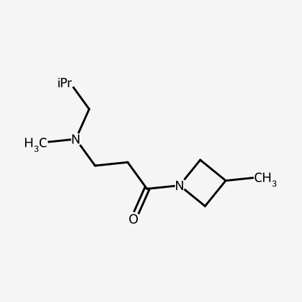 CC(C)CN(C)CCC(=O)N1CC(C)C1